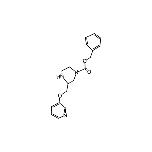 O=C(OCc1ccccc1)N1CCNC(COc2cccnc2)C1